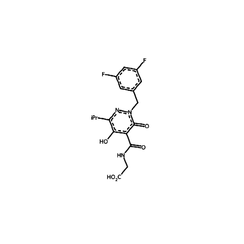 CC(C)c1nn(Cc2cc(F)cc(F)c2)c(=O)c(C(=O)NCC(=O)O)c1O